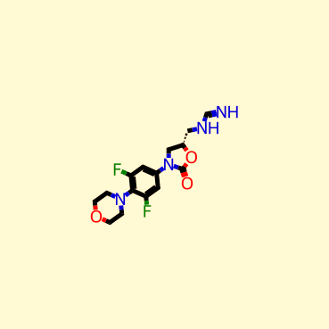 N=CNC[C@H]1CN(c2cc(F)c(N3CCOCC3)c(F)c2)C(=O)O1